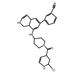 N#Cc1cccc(C2=CC3C=CNCC3C(NC3CCN(C(=O)C4C=CNC(Cl)C4)CC3)=C2)c1